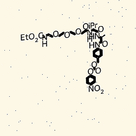 CCOC(=O)NCCOCCOCCOCC(=O)N[C@H](C(=O)N[C@@H](C)C(=O)Nc1ccc(COC(=O)Oc2ccc([N+](=O)[O-])cc2)cc1)C(C)C